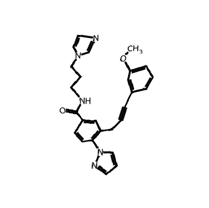 COc1cccc(C#CCc2cc(C(=O)NCCCn3ccnc3)ccc2-n2cccn2)c1